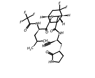 CC(C)C[C@@H](NC(=O)C(F)(F)F)C(=O)N1[C@@H]2CC[C@H]([C@@H]1C(=O)N[C@H](C#N)C[C@@H]1CCNC1=O)C(F)(F)C2